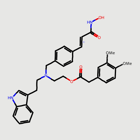 COc1ccc(CC(=O)OCCN(CCc2c[nH]c3ccccc23)Cc2ccc(/C=C/C(=O)NO)cc2)cc1OC